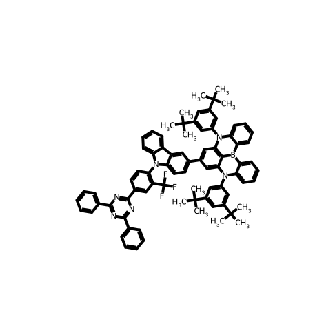 CC(C)(C)c1cc(N2c3ccccc3B3c4ccccc4N(c4cc(C(C)(C)C)cc(C(C)(C)C)c4)c4cc(-c5ccc6c(c5)c5ccccc5n6-c5ccc(-c6nc(-c7ccccc7)nc(-c7ccccc7)n6)cc5C(F)(F)F)cc2c43)cc(C(C)(C)C)c1